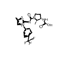 Cc1cn(-c2ccc(C(F)(F)F)cc2)c(=NC(=O)N2CC[C@H](NC(=O)O)[C@H]2C)s1